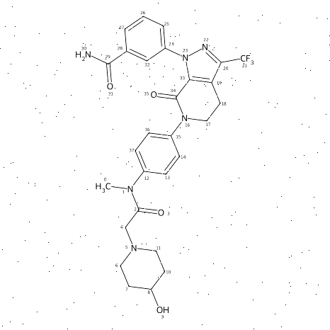 CN(C(=O)CN1CCC(O)CC1)c1ccc(N2CCc3c(C(F)(F)F)nn(-c4cccc(C(N)=O)c4)c3C2=O)cc1